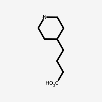 O=C(O)CCCC1CC[N]CC1